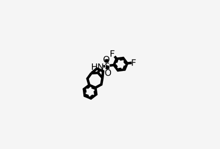 O=S(=O)(NC1C2CCC1Cc1ccccc1C2)c1ccc(F)cc1F